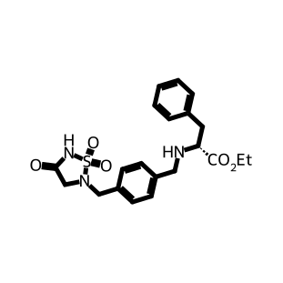 CCOC(=O)[C@@H](Cc1ccccc1)NCc1ccc(CN2CC(=O)NS2(=O)=O)cc1